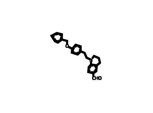 O=Cc1ccc2c(c1)CCCN2CCc1ccc(OCc2ccccc2)cc1